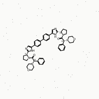 O=C([C@@H](c1ccccc1)N1CCOCC1)N1CCC[C@H]1c1ncc(-c2ccc(-c3ccc(-c4cnc([C@@H]5CCCN5C(=O)[C@@H](c5ccccc5)N5CCOCC5)[nH]4)cc3)cc2)[nH]1